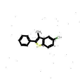 Cc1c(-c2ccccc2)sc2ccc(Cl)cc12